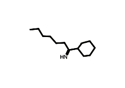 CCCCCCC(=N)C1[CH]CCCC1